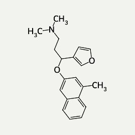 Cc1cc(OC(CCN(C)C)c2ccoc2)cc2ccccc12